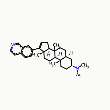 CC(=O)N(C)[C@H]1CC[C@@]2(C)[C@@H](CC[C@]3(C)[C@@H]2CC[C@]2(C)C(c4ccc5ccncc5c4)=CC[C@@H]32)C1